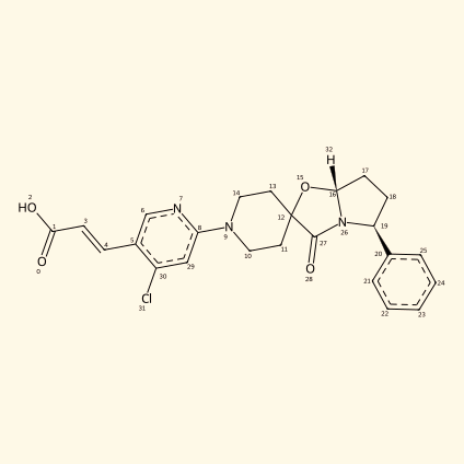 O=C(O)/C=C/c1cnc(N2CCC3(CC2)O[C@@H]2CC[C@@H](c4ccccc4)N2C3=O)cc1Cl